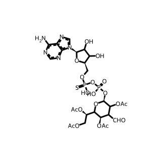 CC(=O)OC[C@@H](OC(C)=O)C1O[C@@H](OP(=O)(O)OP(O)(=S)OC[C@H]2O[C@@H](n3cnc4c(N)ncnc43)C(O)C2O)C(OC(C)=O)C(C=O)[C@H]1OC(C)=O